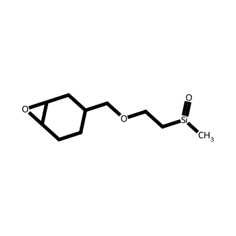 C[Si](=O)CCOCC1CCC2OC2C1